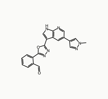 Cn1cc(-c2cnc3[nH]cc(-c4nnc(-c5ccccc5C=O)o4)c3c2)cn1